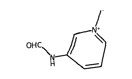 [CH2][n+]1cccc(NC=O)c1